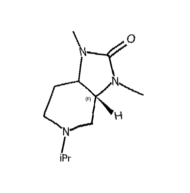 CC(C)N1CCC2[C@@H](C1)N(C)C(=O)N2C